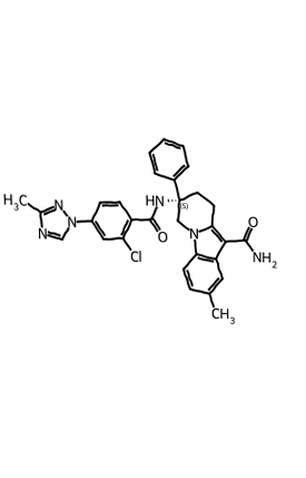 Cc1ccc2c(c1)c(C(N)=O)c1n2C[C@@](NC(=O)c2ccc(-n3cnc(C)n3)cc2Cl)(c2ccccc2)CC1